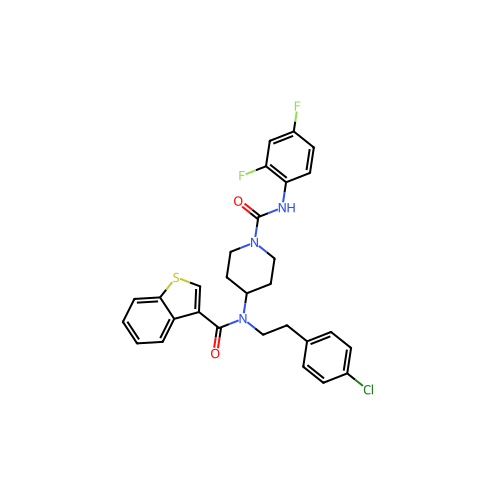 O=C(Nc1ccc(F)cc1F)N1CCC(N(CCc2ccc(Cl)cc2)C(=O)c2csc3ccccc23)CC1